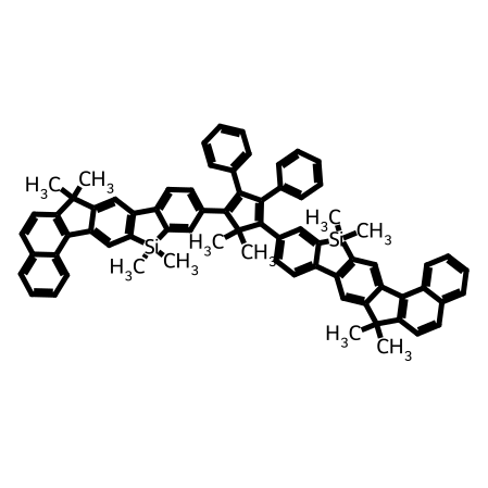 CC1(C)C(c2ccc3c(c2)[Si](C)(C)c2cc4c(cc2-3)C(C)(C)c2ccc3ccccc3c2-4)=C(c2ccccc2)C(c2ccccc2)=C1c1ccc2c(c1)[Si](C)(C)c1cc3c(cc1-2)C(C)(C)c1ccc2ccccc2c1-3